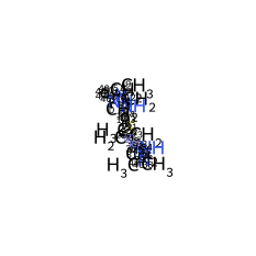 C=CNC(C(=C)N(CCC)CC(=C)NCc1ccc(C(C)SC(=C)/C(C=C)=C\C=C(/C=C)c2c[nH]c(CN(C)CCC)n2)cc1)c1ccccc1